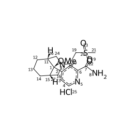 CO[C@]1(c2ccnc(C(N)=O)c2)[C@@H]2CCC[C@H]1CN(CCS(C)(=O)=O)C2.Cl